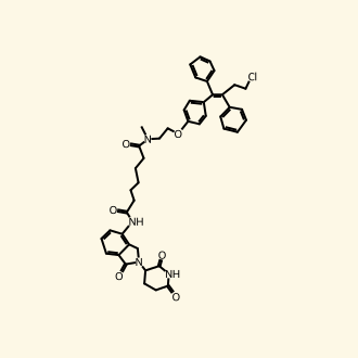 CN(CCOc1ccc(/C(=C(/CCCl)c2ccccc2)c2ccccc2)cc1)C(=O)CCCCCC(=O)Nc1cccc2c1CN(C1CCC(=O)NC1=O)C2=O